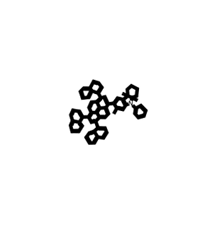 Cc1cc2c(cc1-c1cc(-c3cccc4ccccc34)c3ccc4c(-c5cccc6ccccc56)cc(-c5cccc6ccccc56)c5ccc1c3c54)C1(C)CCCCC1(C)N2c1ccccc1